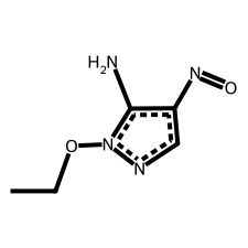 CCOn1ncc(N=O)c1N